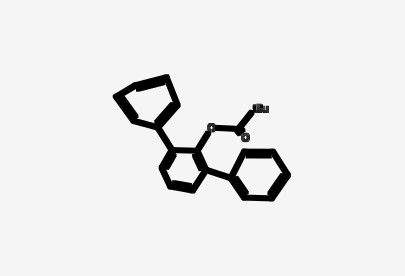 CC(C)(C)C(=O)Oc1c(-c2ccccc2)cccc1-c1ccccc1